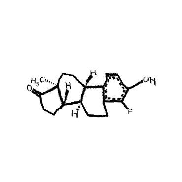 C[C@]12CC[C@@H]3c4ccc(O)c(F)c4CC[C@H]3[C@@H]1CCC2=O